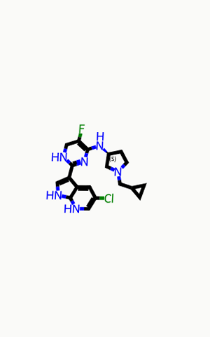 FC1=C(N[C@H]2CCN(CC3CC3)C2)N=C(C2=CNC3NC=C(Cl)C=C23)NC1